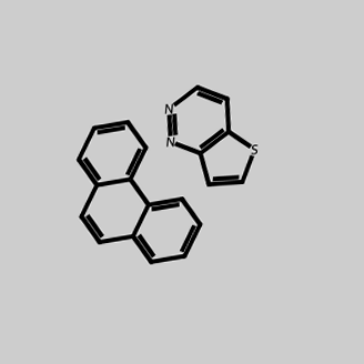 c1cc2sccc2nn1.c1ccc2c(c1)ccc1ccccc12